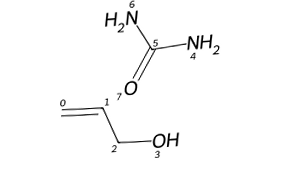 C=CCO.NC(N)=O